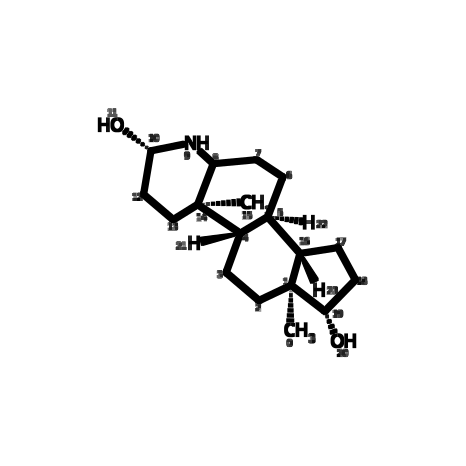 C[C@]12CC[C@H]3[C@@H](CCC4N[C@@H](O)CC[C@@]43C)[C@@H]1CC[C@@H]2O